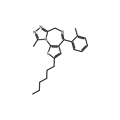 CCCCCCc1cc2c(s1)-n1c(C)nnc1CN=C2c1ccccc1C